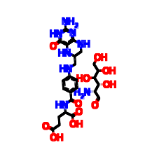 N[C@@H](C=O)[C@@H](O)[C@@H](O)[C@H](O)CO.Nc1nc2c(c(=O)[nH]1)NC(CNc1ccc(C(=O)NC(CCC(=O)O)C(=O)O)cc1)CN2